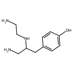 NCCNC(CN)Cc1ccc(O)cc1